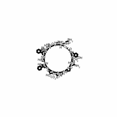 CCCC[C@H]1C(=O)N(C)[C@@H](CCCC)C(=O)N[C@@H](CN)C(=O)N[C@H](C(=O)NCC(N)=O)CSCC(=O)N[C@@H](Cc2ccc(O)cc2)C(=O)N(C)[C@@H](C)C(=O)N[C@@H](CC(N)=O)C(=O)N2CCC[C@H]2C(=O)N[C@@H](CN)C(=O)N[C@@H](CCC(=O)O)C(=O)N2C[C@H](O)C[C@H]2C(=O)N[C@@H](Cc2c[nH]c3ccccc23)C(=O)N[C@@H](CO)C(=O)N[C@@H](Cc2c[nH]c3ccccc23)C(=O)N1C